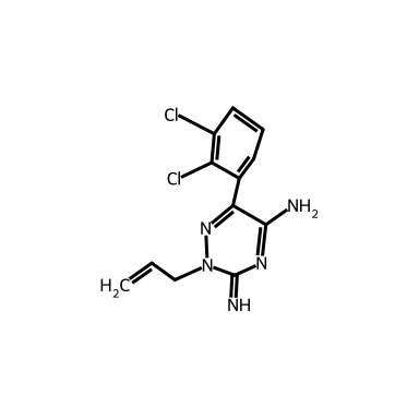 C=CCn1nc(-c2cccc(Cl)c2Cl)c(N)nc1=N